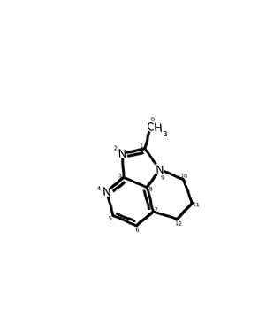 Cc1nc2nccc3c2n1CCC3